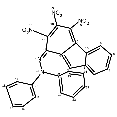 O=[N+]([O-])C1=C2C(=Cc3ccccc32)C(=NN(c2ccccc2)c2ccccc2)C([N+](=O)[O-])=C1[N+](=O)[O-]